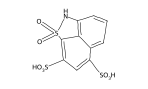 O=S(=O)(O)c1cc(S(=O)(=O)O)c2cccc3c2c1S(=O)(=O)N3